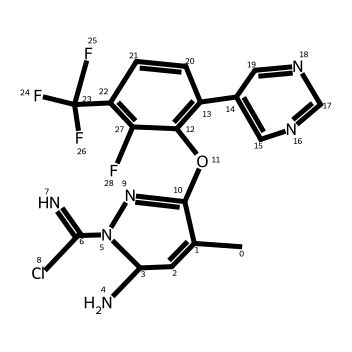 CC1=CC(N)N(C(=N)Cl)N=C1Oc1c(-c2cncnc2)ccc(C(F)(F)F)c1F